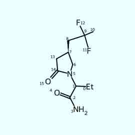 CCC(C(N)=O)N1C[C@H](CC(C)(F)F)CC1=O